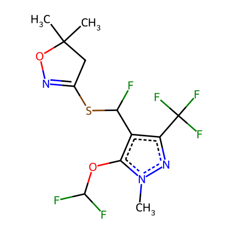 Cn1nc(C(F)(F)F)c(C(F)SC2=NOC(C)(C)C2)c1OC(F)F